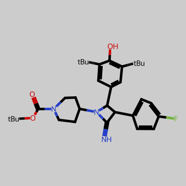 CC(C)(C)OC(=O)N1CCC(N2C(=N)C(c3ccc(F)cc3)C2c2cc(C(C)(C)C)c(O)c(C(C)(C)C)c2)CC1